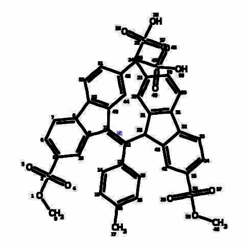 COS(=O)(=O)c1ccc2c(c1)/C(=C(\c1ccc(C)cc1)C1c3cc(CS(=O)(=O)O)ccc3-c3ccc(S(=O)(=O)OC)cc31)c1cc(CS(=O)(=O)O)ccc1-2